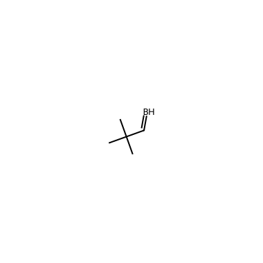 B=CC(C)(C)C